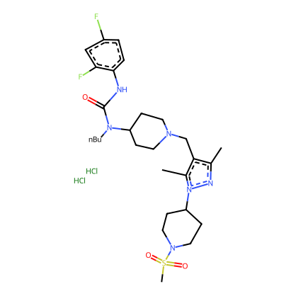 CCCCN(C(=O)Nc1ccc(F)cc1F)C1CCN(Cc2c(C)nn(C3CCN(S(C)(=O)=O)CC3)c2C)CC1.Cl.Cl